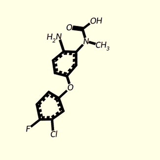 CN(C(=O)O)c1cc(Oc2ccc(F)c(Cl)c2)ccc1N